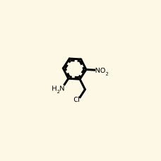 Nc1cccc([N+](=O)[O-])c1CCl